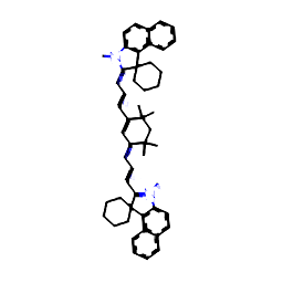 CN1/C(=C/C=C/C2=CC(=C/C=C/C3=[N+](C)c4ccc5ccccc5c4C34CCCCC4)/C(C)(C)CC2(C)C)C2(CCCCC2)c2c1ccc1ccccc21